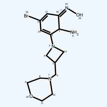 NC1C(N2CC(CN3CCOCC3)C2)=CC(Br)=C/C1=N/O